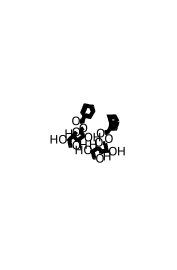 O=C(OC1O[C@H]2[C@@H](OC[C@H]2O)[C@H]1O)c1cc2ccc1-2.O=C(OC1O[C@H]2[C@@H](OC[C@H]2O)[C@H]1O)c1ccccc1